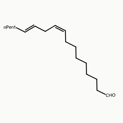 CCCCCC=CC/C=C\CCCCCCCC=O